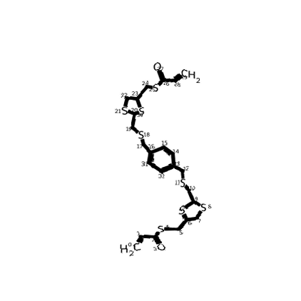 C=CC(=O)SCC1CSC(CSCc2ccc(CSCC3SCC(CSC(=O)C=C)S3)cc2)S1